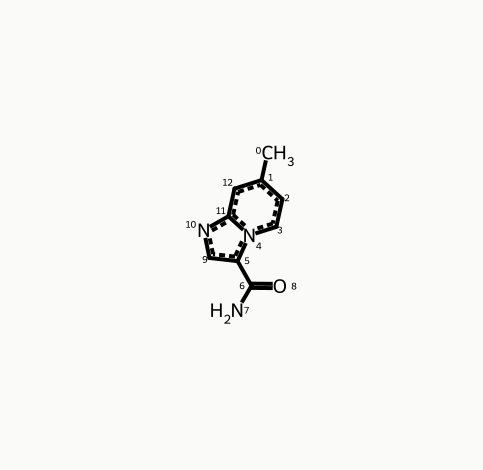 Cc1ccn2c(C(N)=O)cnc2c1